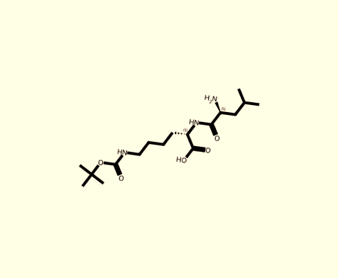 CC(C)C[C@H](N)C(=O)N[C@@H](CCCCNC(=O)OC(C)(C)C)C(=O)O